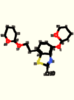 O=Cc1nc2c(OC3CCCCO3)ccc(CCOC3CCCCO3)c2s1